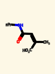 CCCNC(=O)/C=C(/C)C(=O)O